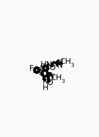 Cn1cc(CC(=O)Nc2cnc3c(c2)-c2cn(C)c4c(=O)[nH]cc(c24)CN3c2ccc(F)cc2)cn1